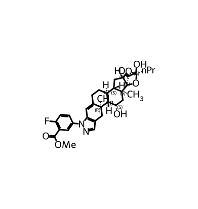 CCC[C@H]1O[C@@H]2C[C@H]3[C@@H]4CCC5=Cc6c(cnn6-c6ccc(F)c(C(=O)OC)c6)C[C@]5(C)[C@H]4[C@@H](O)C[C@]3(C)[C@]2(C(=O)CO)O1